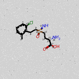 Cc1cccc(Cl)c1CCS(=N)(=O)CC[C@H](N)C(=O)O